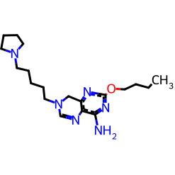 CCCCOc1nc(N)c2c(n1)CN(CCCCCN1CCCC1)C=N2